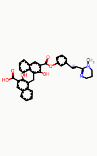 CN1CCCN=C1/C=C/c1cccc(OC(=O)c2cc3ccccc3c(Cc3c(O)c(C(=O)O)cc4ccccc34)c2O)c1